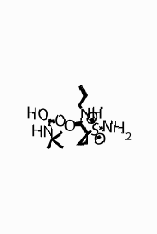 CC(C)(C)NC(=O)O.CCCNC(=O)C1(S(N)(=O)=O)CC1